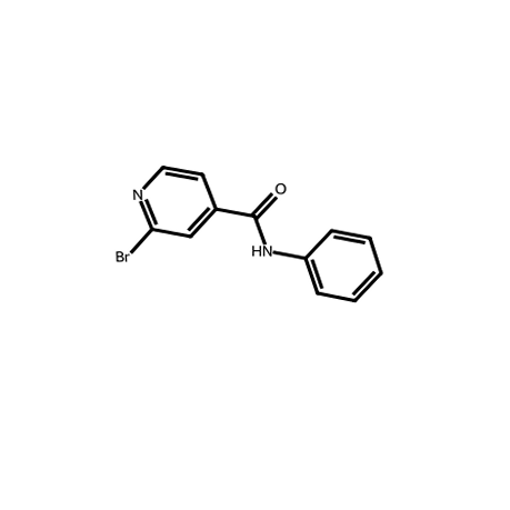 O=C(Nc1ccccc1)c1ccnc(Br)c1